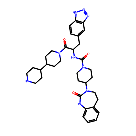 O=C(NC(Cc1ccc2[nH]nnc2c1)C(=O)N1CCC(C2CCNCC2)CC1)N1CCC(N2CCc3ccccc3NC2=O)CC1